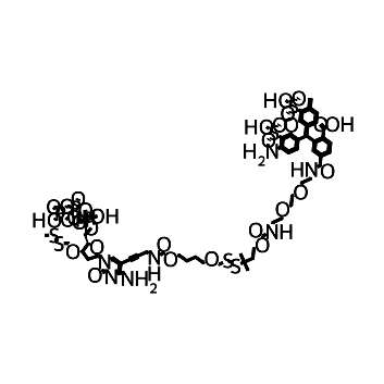 C=c1ccc2c(c1S(=O)(=O)O)Oc1c(ccc(N)c1S(=O)(=O)O)C=2c1cc(C(=O)NCCOCCOCCNC(=O)OCCC(C)(C)SSCOCCCCOC(=O)NCC#Cc2cn([C@H]3C[C@H](OCSSC)[C@@H](COP(=O)(O)OP(=O)(O)OP(=O)(O)O)O3)c(=O)nc2N)ccc1C(=O)O